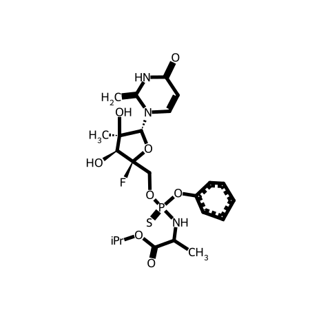 C=C1NC(=O)C=CN1[C@@H]1O[C@](F)(COP(=S)(NC(C)C(=O)OC(C)C)Oc2ccccc2)[C@@H](O)[C@@]1(C)O